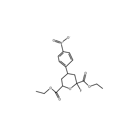 CCOC(=O)C1CC(c2ccc([N+](=O)[O-])cc2)CC(F)(C(=O)OCC)O1